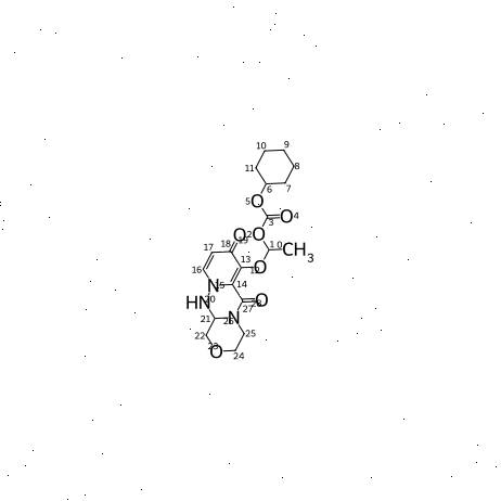 CC(OC(=O)OC1CCCCC1)Oc1c2n(ccc1=O)NC1COCCN1C2=O